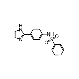 O=S(=O)(Nc1ccc(-c2ncc[nH]2)cc1)c1ccccc1